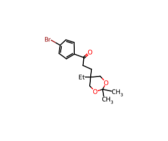 CCC1(CCC(=O)c2ccc(Br)cc2)COC(C)(C)OC1